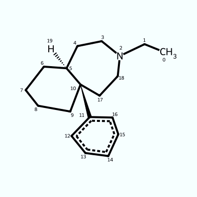 CCN1CC[C@@H]2CCCC[C@@]2(c2ccccc2)CC1